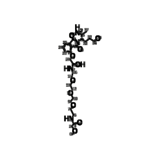 COCC(=O)NCCOCCOCCOCCNC(O)COc1cccc2c1C(=O)N(C(CCC=O)C(C)N)C2=O